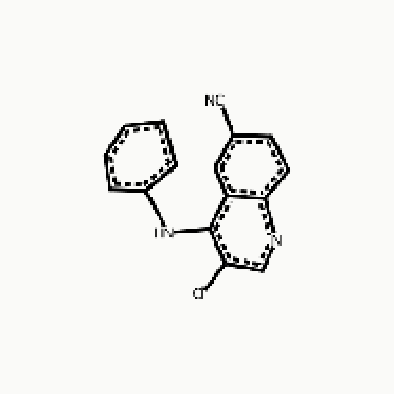 N#Cc1ccc2ncc(Cl)c(Nc3ccccc3)c2c1